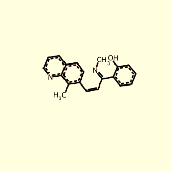 C/N=C(/C=C\c1ccc2cccnc2c1C)c1ccccc1O